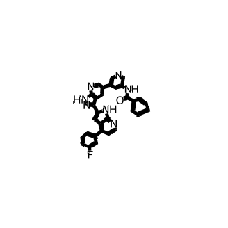 O=C(Nc1cncc(-c2cnc3[nH]nc(-c4cc5c(-c6cccc(F)c6)ccnc5[nH]4)c3c2)c1)c1ccccc1